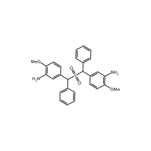 COc1ccc(C(c2ccccc2)S(=O)(=O)C(c2ccccc2)c2ccc(OC)c(N)c2)cc1N